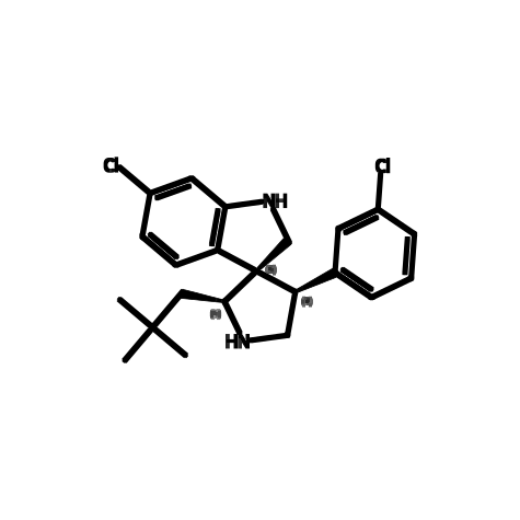 CC(C)(C)C[C@@H]1NC[C@H](c2cccc(Cl)c2)[C@]12CNc1cc(Cl)ccc12